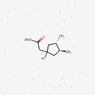 COC(=O)CC1(C#N)C[C@H](C)[C@@H](C)C1